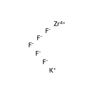 [F-].[F-].[F-].[F-].[F-].[K+].[Zr+4]